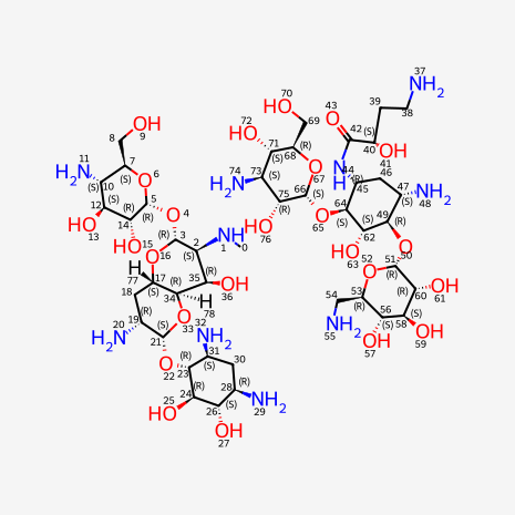 CN[C@@H]1[C@@H](O[C@H]2O[C@H](CO)[C@@H](N)[C@H](O)[C@H]2O)O[C@H]2C[C@@H](N)[C@@H](O[C@H]3[C@H](O)[C@@H](O)[C@H](N)C[C@@H]3N)O[C@@H]2[C@@H]1O.NCC[C@H](O)C(=O)N[C@@H]1C[C@H](N)[C@@H](O[C@H]2O[C@H](CN)[C@@H](O)[C@H](O)[C@H]2O)[C@H](O)[C@H]1O[C@H]1O[C@H](CO)[C@@H](O)[C@H](N)[C@H]1O